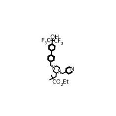 CCOC(=O)C(C)(C)CC1CN(Cc2ccc(-c3ccc(C(O)(C(F)(F)F)C(F)(F)F)cc3)cc2)CCN1Cc1ccncc1